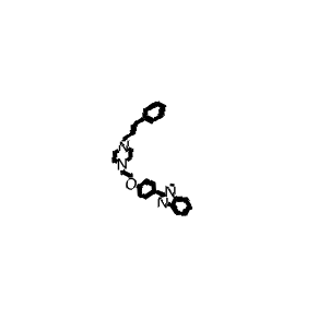 Cn1c(-c2ccc(OCCN3CCN(CC=Cc4ccccc4)CC3)cc2)nc2ccccc21